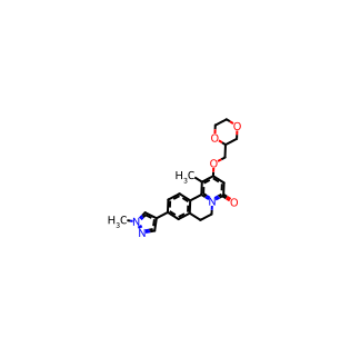 Cc1c(OCC2COCCO2)cc(=O)n2c1-c1ccc(-c3cnn(C)c3)cc1CC2